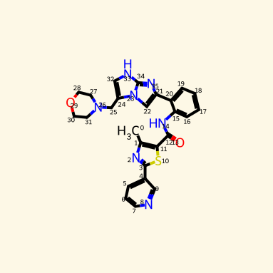 Cc1nc(-c2cccnc2)sc1C(=O)Nc1ccccc1-c1cn2c(CN3CCOCC3)c[nH]c2n1